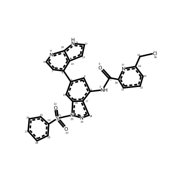 O=C(Nc1cc(-c2ccnc3[nH]ccc23)cc2c1cnn2S(=O)(=O)c1ccccc1)c1cccc(CCl)n1